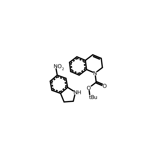 CC(C)(C)OC(=O)N1CC=Cc2ccccc21.O=[N+]([O-])c1ccc2c(c1)NCC2